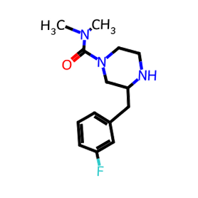 CN(C)C(=O)N1CCNC(Cc2cccc(F)c2)C1